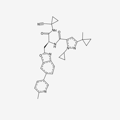 Cc1ccc(-c2ccc3nc(C[C@H](NC(=O)c4cc(C5(C)CC5)nn4C4CC4)C(=O)NC4(C#N)CC4)oc3c2)cn1